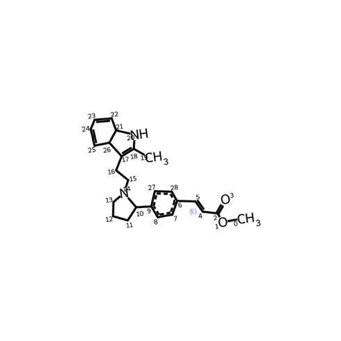 COC(=O)/C=C/c1ccc(C2CCCN2CCC2=C(C)NC3C=CC=CC23)cc1